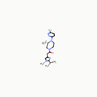 CC(C)c1nc(CC(=O)N2CCN(c3ccc(Cl)nn3)[C@@H](C)C2)cn1C